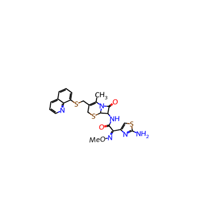 CO/N=C(\C(=O)NC1C(=O)N2C(C)=C(CSc3cccc4cccnc34)CSC12)c1csc(N)n1